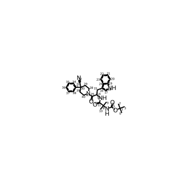 CC(C)(C)OC(=O)NC(C)(C)C(=O)NC(Cc1c[nH]c2ccccc12)C(=O)N1CCC(C#N)(c2ccccc2)CC1